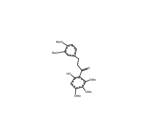 COc1ccc(CCC(=O)c2c(O)cc(OC)c(OC)c2OC)cc1OC